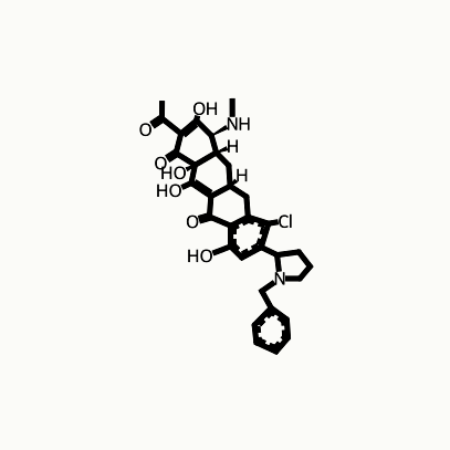 CN[C@@H]1C(O)=C(C(C)=O)C(=O)[C@@]2(O)C(O)=C3C(=O)c4c(O)cc(C5CCCN5Cc5ccccc5)c(Cl)c4C[C@H]3C[C@@H]12